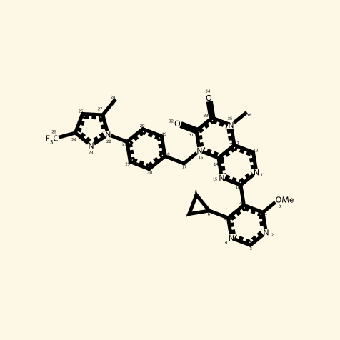 COc1ncnc(C2CC2)c1-c1ncc2c(n1)n(Cc1ccc(-n3nc(C(F)(F)F)cc3C)cc1)c(=O)c(=O)n2C